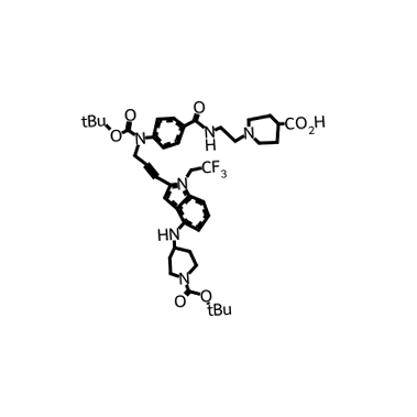 CC(C)(C)OC(=O)N1CCC(Nc2cccc3c2cc(C#CCN(C(=O)OC(C)(C)C)c2ccc(C(=O)NCCN4CCC(C(=O)O)CC4)cc2)n3CC(F)(F)F)CC1